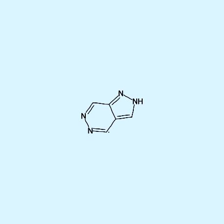 [c]1nncc2n[nH]cc12